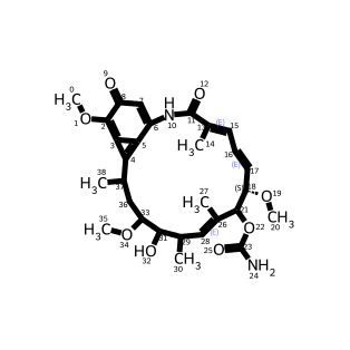 COc1c2c3c-2c(cc1=O)NC(=O)/C(C)=C/C=C/[C@H](OC)C(OC(N)=O)/C(C)=C/C(C)C(O)C(OC)CC3C